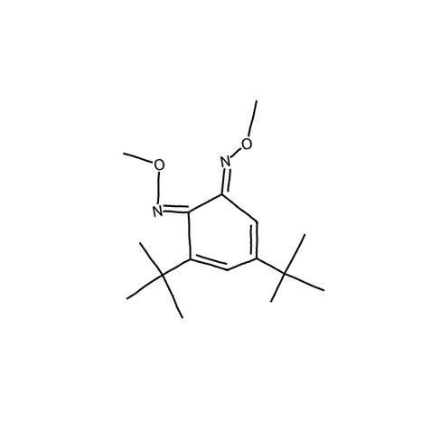 CON=C1C=C(C(C)(C)C)C=C(C(C)(C)C)C1=NOC